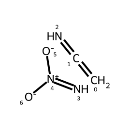 C=C=N.N=[N+]([O-])[O-]